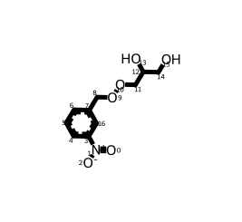 O=[N+]([O-])c1cccc(COOCC(O)CO)c1